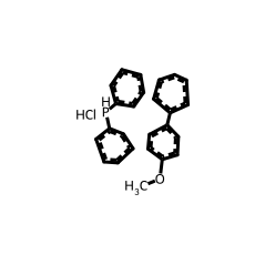 COc1ccc(-c2ccccc2)cc1.Cl.c1ccc(Pc2ccccc2)cc1